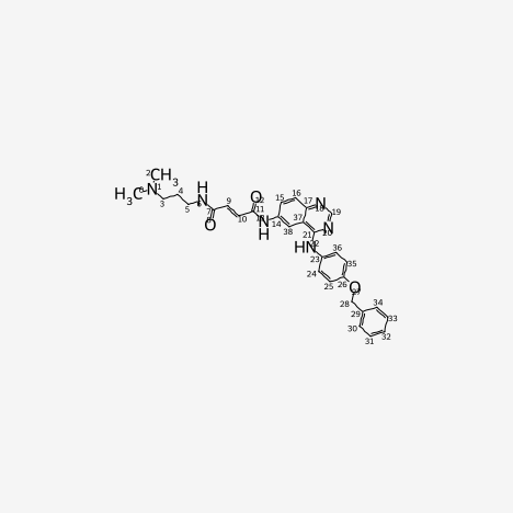 CN(C)CCCNC(=O)/C=C/C(=O)Nc1ccc2ncnc(Nc3ccc(OCc4ccccc4)cc3)c2c1